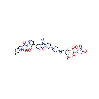 CN(Cc1cc(Br)c2c(c1)C(=O)N(C1CCC(=O)NC1=O)C2=O)C1CCN(c2ccc(Nc3cc(-c4ccnc(N5CCn6c(cc7c6CC(C)(C)C7)C5=O)c4CO)cn(C)c3=O)nc2)CC1